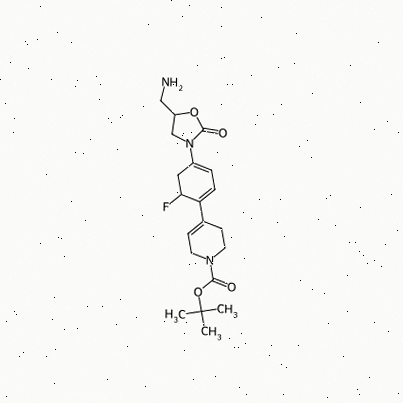 CC(C)(C)OC(=O)N1CC=C(C2=CC=C(N3CC(CN)OC3=O)CC2F)CC1